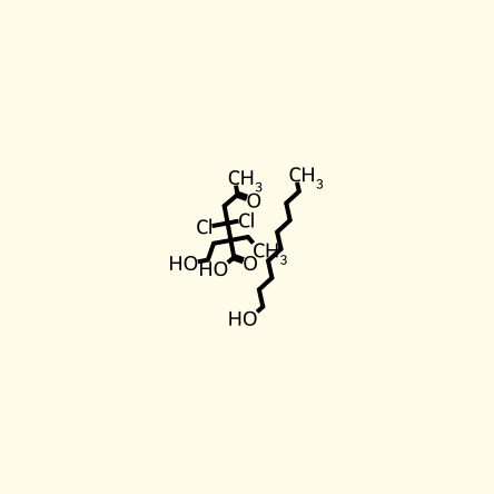 CCC(CCO)(C(=O)O)C(Cl)(Cl)CC(C)=O.CCCCCCCCCCO